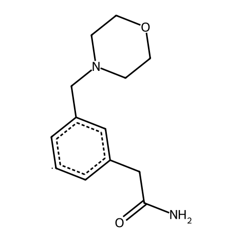 NC(=O)Cc1c[c]cc(CN2CCOCC2)c1